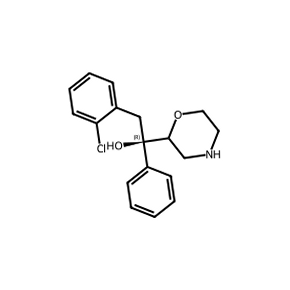 O[C@](Cc1ccccc1Cl)(c1ccccc1)C1CNCCO1